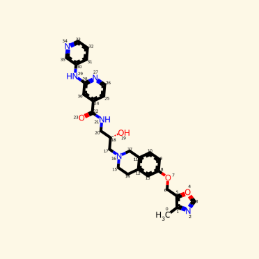 Cc1ncoc1COc1ccc2c(c1)CCN(C[C@@H](O)CNC(=O)c1ccnc(Nc3cccnc3)c1)C2